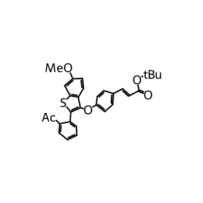 COc1ccc2c(Oc3ccc(C=CC(=O)OC(C)(C)C)cc3)c(-c3ccccc3C(C)=O)sc2c1